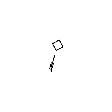 C1CCC1.CC#N